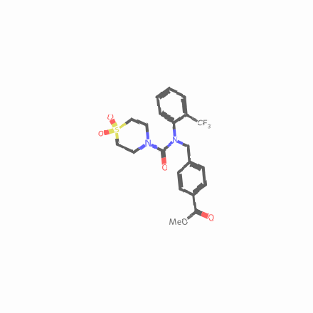 COC(=O)c1ccc(CN(C(=O)N2CCS(=O)(=O)CC2)c2ccccc2C(F)(F)F)cc1